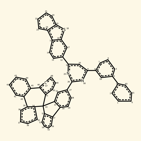 c1ccc(-c2cccc(-c3cc(-c4ccc5c(c4)sc4ccccc45)nc(-c4ccc5c(c4)C4(c6ccccc6-c6ccccc6-c6ccccc64)c4ccccc4-5)n3)c2)cc1